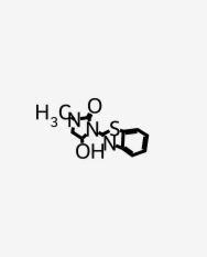 CN1CC(O)N(c2nc3ccccc3s2)C1=O